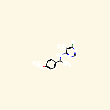 COc1ccc(C(C)Nc2ncnc(Br)c2C)cc1